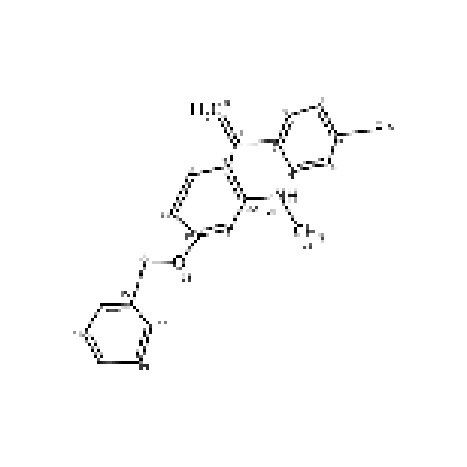 C=C(c1ccc(F)cc1)c1ccc(OCc2ccccc2)cc1NC